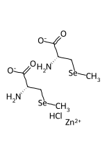 C[Se]C[C@H](N)C(=O)[O-].C[Se]C[C@H](N)C(=O)[O-].Cl.[Zn+2]